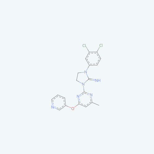 Cc1cc(Oc2cccnc2)nc(N2CCN(c3ccc(Cl)c(Cl)c3)C2=N)n1